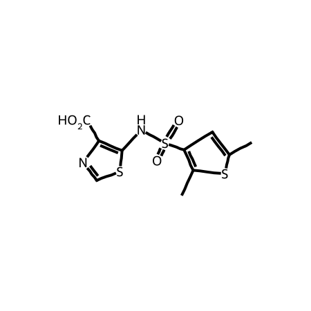 Cc1cc(S(=O)(=O)Nc2scnc2C(=O)O)c(C)s1